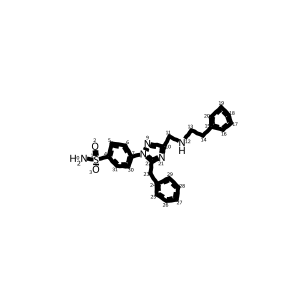 NS(=O)(=O)c1ccc(-n2nc(CNCCc3ccccc3)nc2Cc2ccccc2)cc1